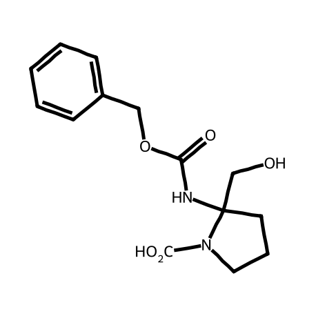 O=C(NC1(CO)CCCN1C(=O)O)OCc1ccccc1